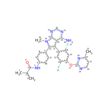 C=C(C)C(=O)Nc1ccc(-c2c(-c3cc(F)c(Oc4nccc(C)n4)cc3F)c3c(N)ncnc3n2C)cc1